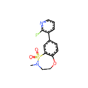 CN1CCOc2ccc(-c3cccnc3F)cc2S1(=O)=O